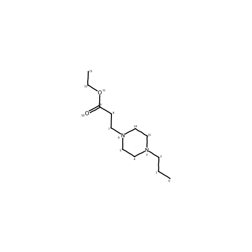 CCCN1CCN(CCC(=O)OCC)CC1